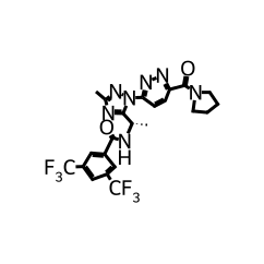 Cc1nc([C@H](C)NC(=O)c2cc(C(F)(F)F)cc(C(F)(F)F)c2)n(-c2ccc(C(=O)N3CCCC3)nn2)n1